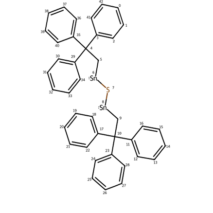 c1ccc(C([CH2][Sn][S][Sn][CH2]C(c2ccccc2)(c2ccccc2)c2ccccc2)(c2ccccc2)c2ccccc2)cc1